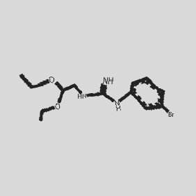 CCOC(CNC(=N)Nc1cccc(Br)c1)OCC